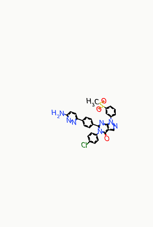 CS(=O)(=O)c1cccc(-n2ncc3c(=O)n(-c4ccc(Cl)cc4)c(-c4ccc(-c5ccc(N)nn5)cc4)nc32)c1